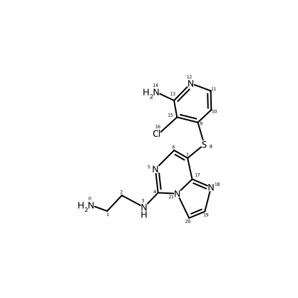 NCCNc1ncc(Sc2ccnc(N)c2Cl)c2nccn12